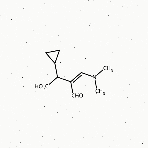 CN(C)C=C(C=O)C(C(=O)O)C1CC1